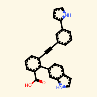 O=C(O)c1cccc(C#Cc2cccc(-c3ccc[nH]3)c2)c1-c1ccc2cc[nH]c2c1